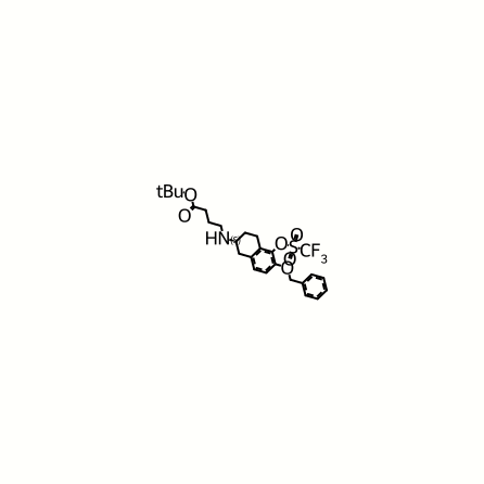 CC(C)(C)OC(=O)CCCN[C@H]1CCc2c(ccc(OCc3ccccc3)c2OS(=O)(=O)C(F)(F)F)C1